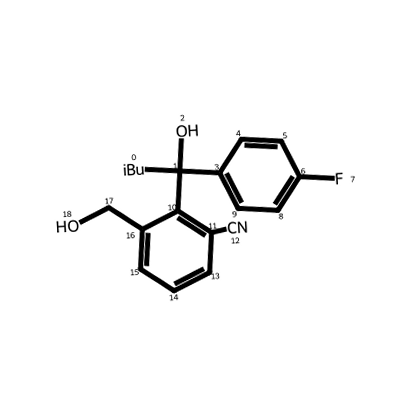 CCC(C)C(O)(c1ccc(F)cc1)c1c(C#N)cccc1CO